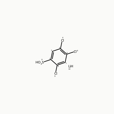 O=S(=O)(O)c1cc(Cl)c(Cl)cc1Cl.[LiH]